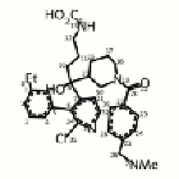 CCc1cccc(-c2c(C(O)(CCCNC(=O)O)C3CCCN(C(=O)c4ccc(CNC)cc4)C3)ccnc2Cl)c1